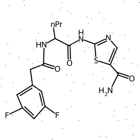 CCCC(NC(=O)Cc1cc(F)cc(F)c1)C(=O)Nc1ncc(C(N)=O)s1